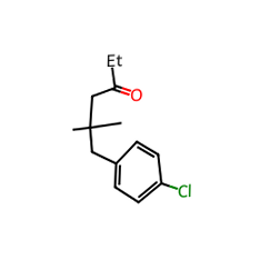 CCC(=O)CC(C)(C)Cc1ccc(Cl)cc1